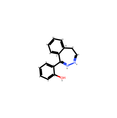 Oc1ccccc1C1=NN=CCc2ccccc21